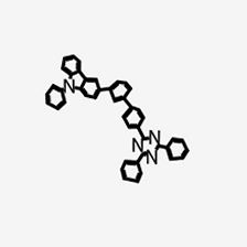 c1ccc(-c2nc(-c3ccccc3)nc(-c3ccc(-c4cccc(-c5ccc6c(c5)c5ccccc5n6-c5ccccc5)c4)cc3)n2)cc1